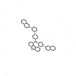 c1cc(-c2ccc(N(c3ccc(-c4ccc5ccccc5c4)cc3)c3cccc4oc5ccccc5c34)cc2)cc(-c2ccc3ccccc3c2)c1